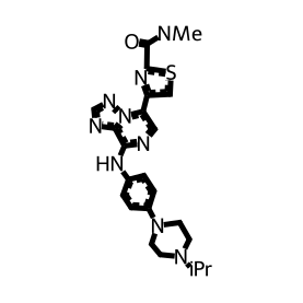 CNC(=O)c1nc(-c2cnc(Nc3ccc(N4CCN(C(C)C)CC4)cc3)c3ncnn23)cs1